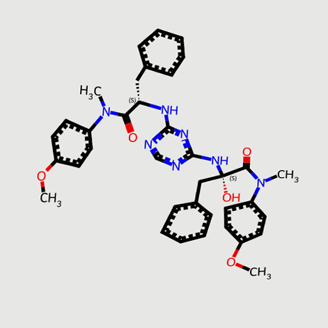 COc1ccc(N(C)C(=O)[C@H](Cc2ccccc2)Nc2ncnc(N[C@](O)(Cc3ccccc3)C(=O)N(C)c3ccc(OC)cc3)n2)cc1